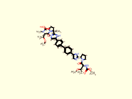 COC(=O)N[C@H](C(=O)N1CCC[C@H]1c1ncc(-c2ccc(-c3ccc(-c4cnc([C@]5(C)CCCN5C(=O)[C@H]([C@@H](C)OC)N(C)C(=O)O)[nH]4)cc3)cc2)[nH]1)[C@@H](C)OC